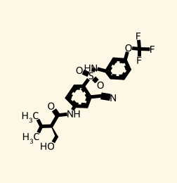 CC(C)[C@H](CO)C(=O)Nc1ccc(S(=O)(=O)Nc2cccc(OC(F)(F)F)c2)c(C#N)c1